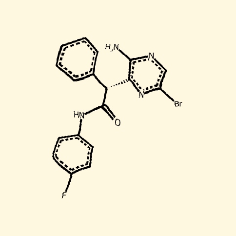 Nc1ncc(Br)nc1[C@H](C(=O)Nc1ccc(F)cc1)c1ccccc1